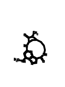 CNc1cc2nc3c(cnn13)C(=O)NCCCC1CC(N2)C(=O)N1C